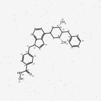 C[C@@H]1CC(c2ccnc3c2ccn3Cc2ccc(C(=O)NO)cc2)C[C@H](C)N1Cc1ccccc1